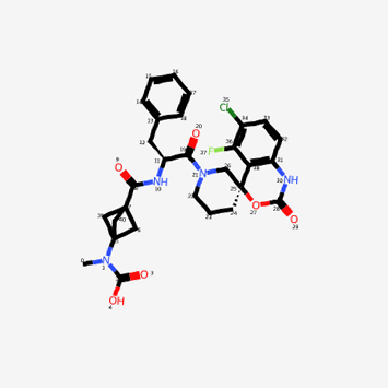 CN(C(=O)O)C12CC(C(=O)N[C@@H](Cc3ccccc3)C(=O)N3CCC[C@@]4(C3)OC(=O)Nc3ccc(Cl)c(F)c34)(C1)C2